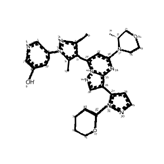 Cc1nn(-c2cncc(O)c2)c(C)c1-c1cc(N2CCOC[C@H]2C)nc2c(-c3ccnn3C3CCCCO3)cnn12